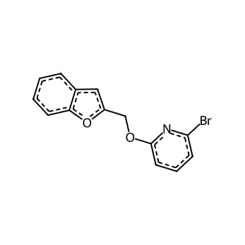 Brc1cccc(OCc2cc3ccccc3o2)n1